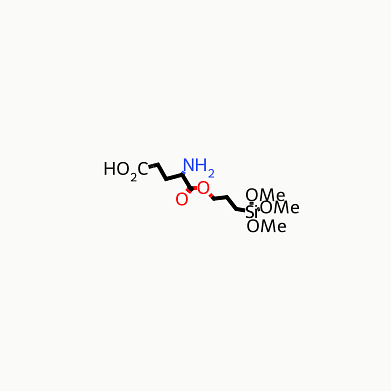 CO[Si](CCCOC(=O)C(N)CCC(=O)O)(OC)OC